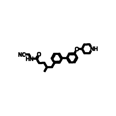 CC(CCC(=O)NCC#N)Cc1cccc(-c2cccc(OC3CCNCC3)c2)c1